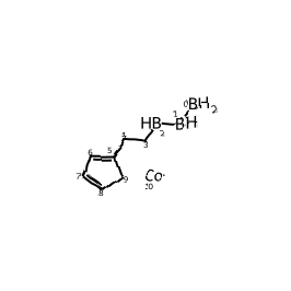 BBBCCC1=CC=CC1.[Co]